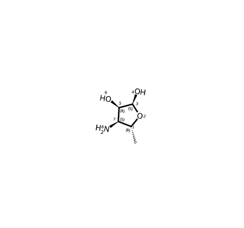 C[C@H]1O[C@H](O)[C@H](O)[C@@H]1N